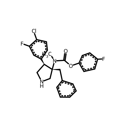 CN(C(=O)Oc1ccc(F)cc1)[C@]1(Cc2ccccc2)CNC[C@H]1c1ccc(Cl)c(F)c1